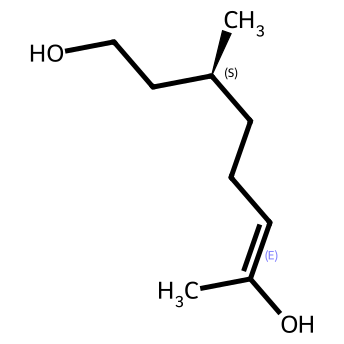 C/C(O)=C\CC[C@H](C)CCO